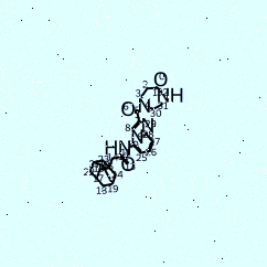 O=C1CCN(C(=O)c2cn3c(NC(=O)CC45CC6CC(CC(C6)C4)C5)cccc3n2)CCN1